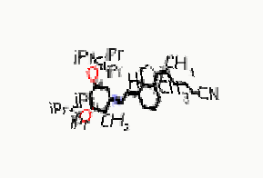 C=C1/C(=C/C=C2CCC[C@]3(C)[C@@H]([C@H](C)CCCC#N)CC[C@@H]23)C[C@@H](O[Si](C(C)C)(C(C)C)C(C)C)C[C@@H]1O[Si](C(C)C)(C(C)C)C(C)C